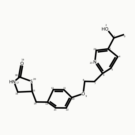 CC(O)c1ccc(CCOc2ccc(CC3CNC(=O)S3)cc2)nc1